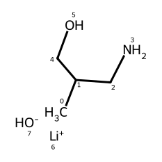 CC(CN)CO.[Li+].[OH-]